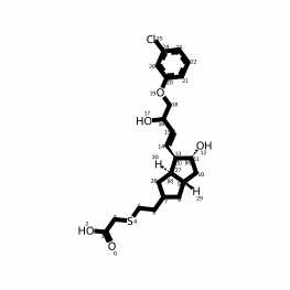 O=C(O)CSCCC1C[C@H]2C[C@@H](O)[C@H](C=CC(O)COc3cccc(Cl)c3)[C@@H]2C1